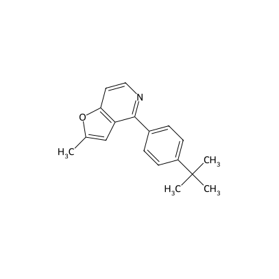 Cc1cc2c(-c3ccc(C(C)(C)C)cc3)nccc2o1